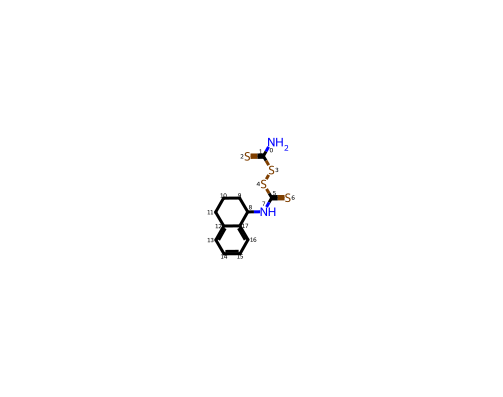 NC(=S)SSC(=S)NC1CCCc2ccccc21